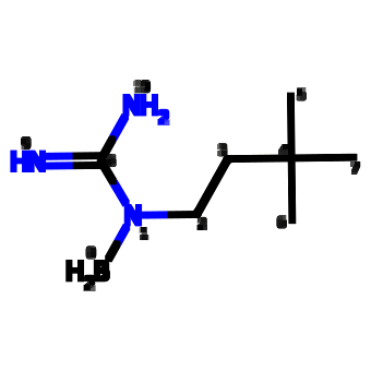 BN(CCC(C)(C)C)C(=N)N